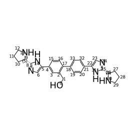 OCc1cc(-c2cnc([C@@H]3CCCN3)[nH]2)ccc1-c1ccc(-c2cnc([C@@H]3CCCN3)[nH]2)cc1